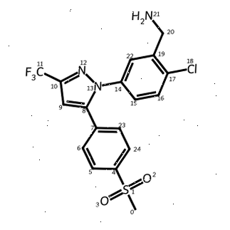 CS(=O)(=O)c1ccc(-c2cc(C(F)(F)F)nn2-c2ccc(Cl)c(CN)c2)cc1